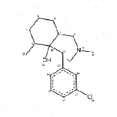 CC1CCCC(CN(C)C)C1(O)Cc1cccc(Cl)c1